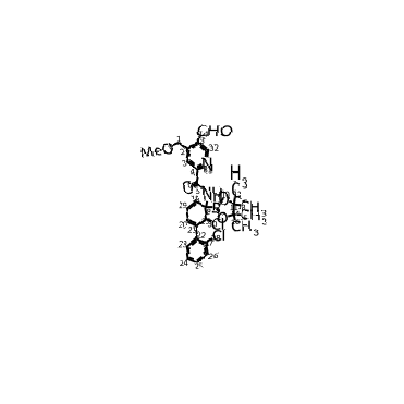 COCc1cc(C(=O)NC2(B3OC(C)(C)C(C)(C)O3)C=CC=C(c3ccccc3Cl)C2Cl)ncc1C=O